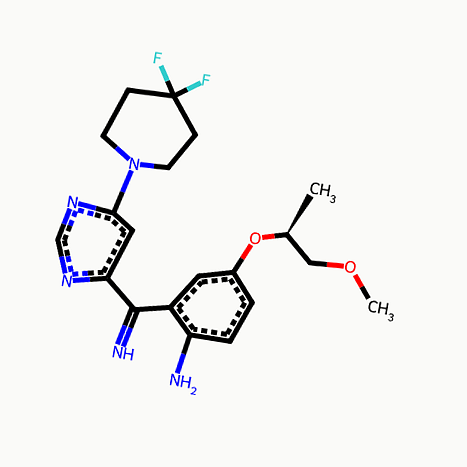 COC[C@H](C)Oc1ccc(N)c(C(=N)c2cc(N3CCC(F)(F)CC3)ncn2)c1